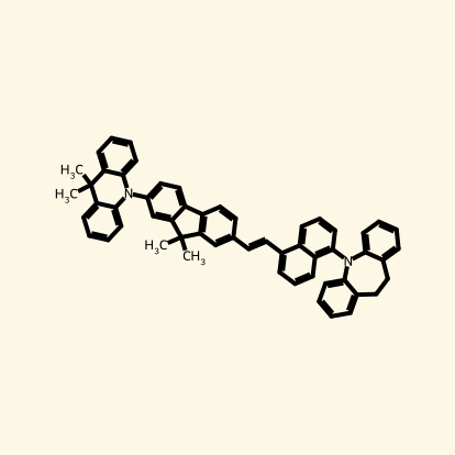 CC1(C)c2cc(/C=C/c3cccc4c(N5c6ccccc6CCc6ccccc65)cccc34)ccc2-c2ccc(N3c4ccccc4C(C)(C)c4ccccc43)cc21